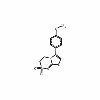 O=S1(=O)CCN2C(c3ccc(OC(F)(F)F)cc3)=CSC2=N1